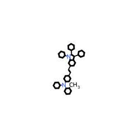 Cc1ccccc1N(c1ccccc1)c1ccc(/C=C/c2ccc3c(-c4ccccc4)c(-c4ccccc4)n(-c4ccccc4)c3c2)cc1